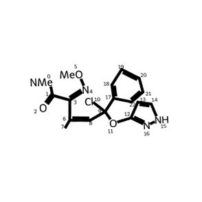 CNC(=O)C(=NOC)C(C)=CC(Cl)(Oc1cc[nH]n1)c1ccccc1